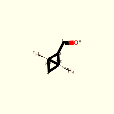 O=CC1[C@H]2C[C@@H]12